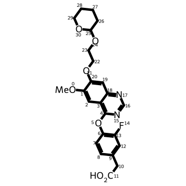 COc1cc2c(Oc3ccc(CC(=O)O)cc3F)ncnc2cc1OCCOC1CCCCO1